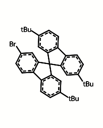 CC(C)(C)c1ccc2c(c1)C1(c3cc(Br)ccc3-2)c2cc(C(C)(C)C)ccc2-c2ccc(C(C)(C)C)cc21